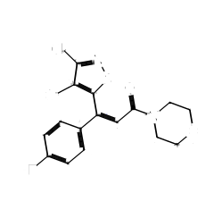 O=C(/C=C(/c1ccc(F)cc1)c1snc(Cl)c1Cl)N1CCOCC1